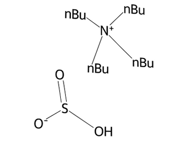 CCCC[N+](CCCC)(CCCC)CCCC.O=S([O-])O